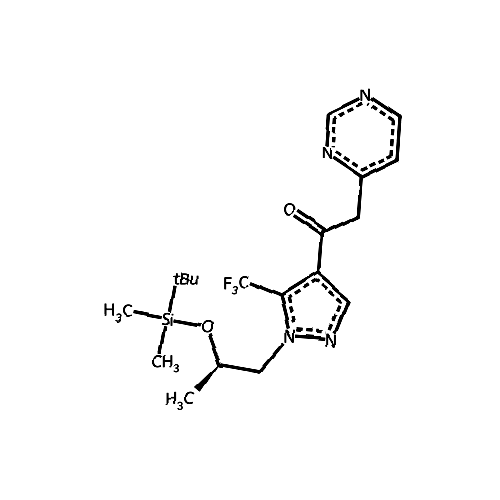 C[C@H](Cn1ncc(C(=O)Cc2ccncn2)c1C(F)(F)F)O[Si](C)(C)C(C)(C)C